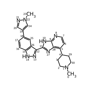 CN1CCC(c2ccnc3[nH]c(-c4n[nH]c5ccc(-c6cnn(C)c6)cc45)nc23)CC1